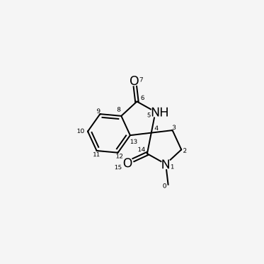 CN1CCC2(NC(=O)c3ccccc32)C1=O